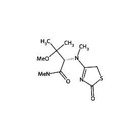 CNC(=O)[C@@H](N(C)C1=NC(=O)SC1)C(C)(C)OC